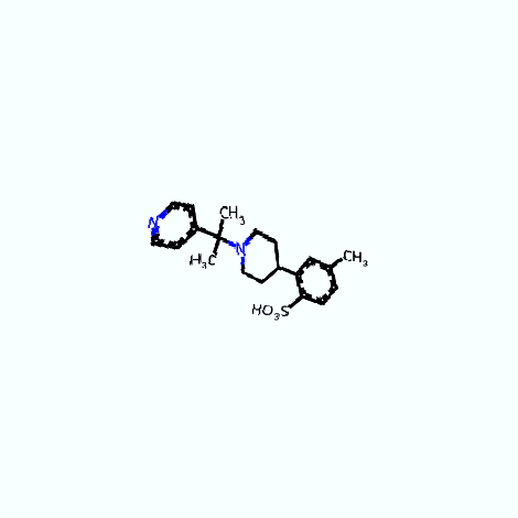 Cc1ccc(S(=O)(=O)O)c(C2CCN(C(C)(C)c3ccncc3)CC2)c1